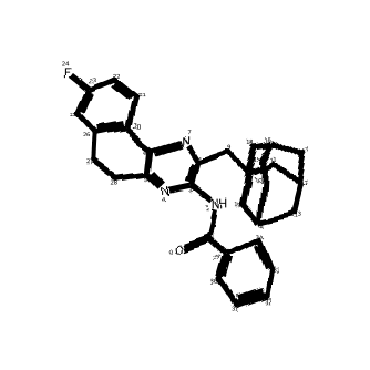 O=C(Nc1nc2c(nc1CC13CC4CC(CC(C4)C1)C3)-c1ccc(F)cc1CC2)c1ccccc1